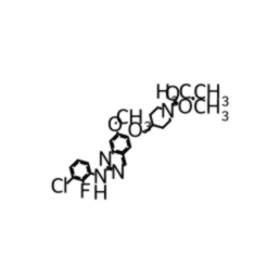 COc1cc2nc(Nc3cccc(Cl)c3F)ncc2cc1OCC1CCN(C(=O)OC(C)(C)C)CC1